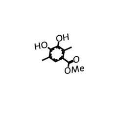 COC(=O)c1cc(C)c(O)c(O)c1C